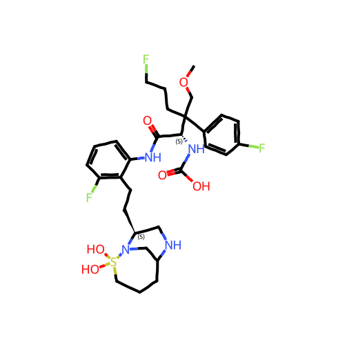 COCC(CCCF)(c1ccc(F)cc1)[C@H](NC(=O)O)C(=O)Nc1cccc(F)c1CC[C@H]1CNC2CCCS(O)(O)N1C2